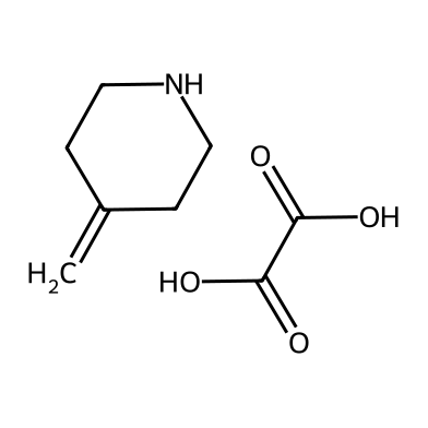 C=C1CCNCC1.O=C(O)C(=O)O